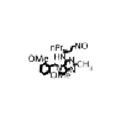 CCC[C@@H](CCN=O)Nc1nc(C)nc2ccn(Cc3c(OC)cccc3OC)c12